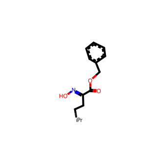 CC(C)CCC(=NO)C(=O)OCc1ccccc1